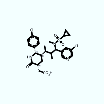 CC(C(C)[C@H]1C[C@H](CC(=O)O)C(=O)N[C@@H]1c1ccc(Cl)cc1)C(c1cncc(Cl)c1)N(C)S(=O)(=O)C1CC1